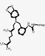 CCCCCCCNC(=O)Nc1ccccc1CN(C/C=C(\C)CCC=C(C)C)c1ccc2c(c1)OCO2